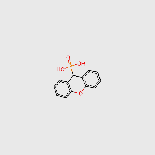 O=P(O)(O)C1c2ccccc2Oc2ccccc21